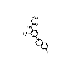 CC(C)(C)CC(=O)Nc1ccc(N2CCc3cc(F)ccc3C2)cc1C(F)(F)F